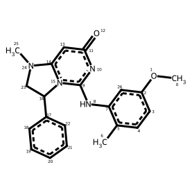 COc1ccc(C)c(Nc2nc(=O)cc3n2C(c2ccccc2)CN3C)c1